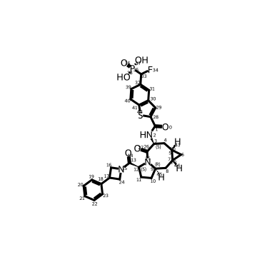 O=C(N[C@H]1C[C@@H]2C[C@@H]2C[C@H]2CC[C@@H](C(=O)N3CC(c4ccccc4)C3)N2C1=O)c1cc2cc(C(F)P(=O)(O)O)ccc2s1